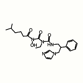 CCN(C(=O)NCC(Cn1ccnc1)c1ccccc1)C(=O)N(O)C(=O)CCCC(C)C